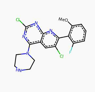 COc1cccc(F)c1-c1nc2nc(Cl)nc(N3CCNCC3)c2cc1Cl